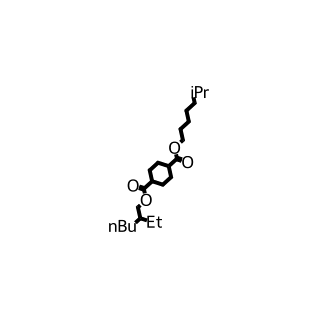 CCCCC(CC)COC(=O)C1CCC(C(=O)OCCCCCC(C)C)CC1